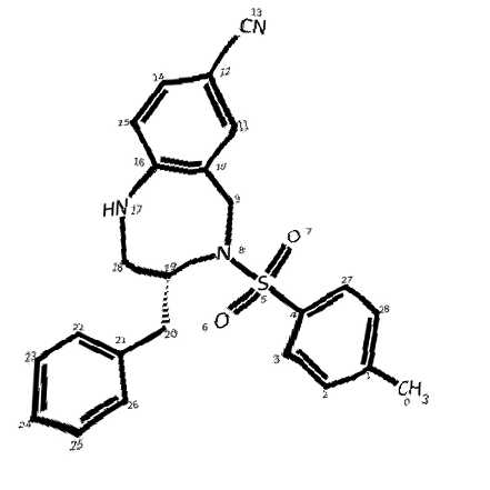 Cc1ccc(S(=O)(=O)N2Cc3cc(C#N)ccc3NC[C@H]2Cc2ccccc2)cc1